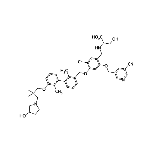 Cc1c(COc2cc(OCc3cncc(C#N)c3)c(CNC(CO)C(=O)O)cc2Cl)cccc1-c1cccc(OCC2(CN3CCC(O)C3)CC2)c1C